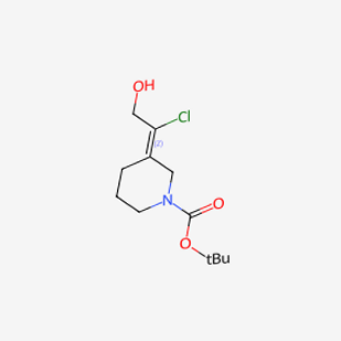 CC(C)(C)OC(=O)N1CCC/C(=C(/Cl)CO)C1